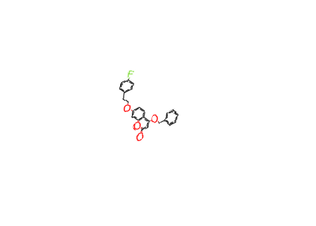 O=c1cc(OCc2ccccc2)c2ccc(OCCc3ccc(F)cc3)cc2o1